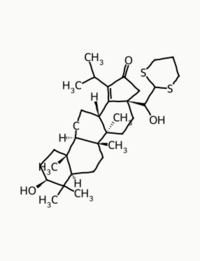 CC(C)C1=C2[C@H]3CC[C@@H]4[C@@]5(C)CC[C@H](O)C(C)(C)[C@@H]5CC[C@@]4(C)[C@]3(C)CC[C@@]2(C(O)C2SCCCS2)CC1=O